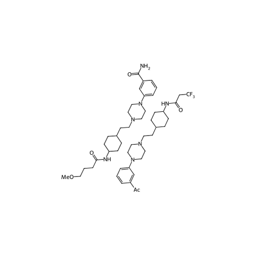 CC(=O)c1cccc(N2CCN(CCC3CCC(NC(=O)CC(F)(F)F)CC3)CC2)c1.COCCCC(=O)NC1CCC(CCN2CCN(c3cccc(C(N)=O)c3)CC2)CC1